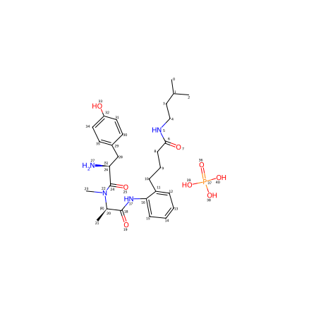 CC(C)CCNC(=O)CCCc1ccccc1NC(=O)[C@@H](C)N(C)C(=O)[C@@H](N)Cc1ccc(O)cc1.O=P(O)(O)O